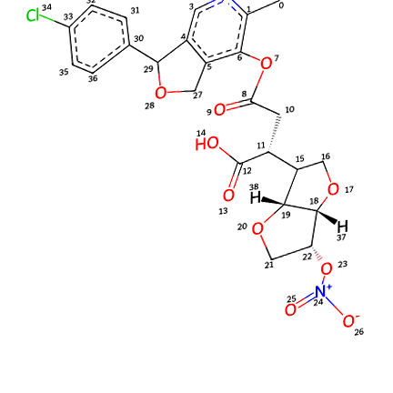 Cc1ncc2c(c1OC(=O)C[C@@H](C(=O)O)C1CO[C@H]3[C@@H]1OC[C@H]3O[N+](=O)[O-])COC2c1ccc(Cl)cc1